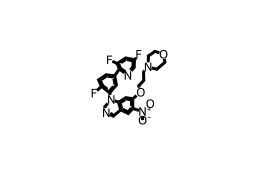 O=[N+]([O-])c1cc2c(cc1OCCCN1CCOCC1)N(c1cc(-c3ncc(F)cc3F)ccc1F)CN=C2